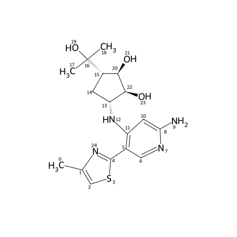 Cc1csc(-c2cnc(N)cc2N[C@@H]2C[C@H](C(C)(C)O)[C@@H](O)[C@H]2O)n1